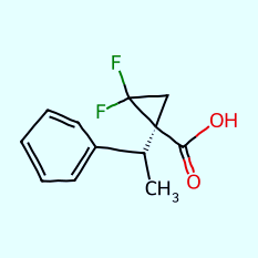 CC(c1ccccc1)[C@@]1(C(=O)O)CC1(F)F